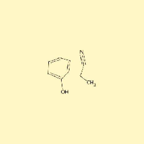 CCC#N.Oc1ccccc1